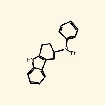 CCN(c1ccccc1)C1CCc2[nH]c3ccccc3c2C1